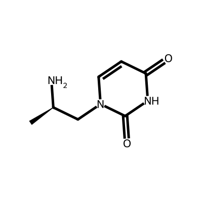 C[C@@H](N)Cn1ccc(=O)[nH]c1=O